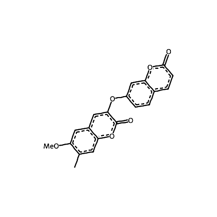 COc1cc2cc(Oc3ccc4ccc(=O)oc4c3)c(=O)oc2cc1C